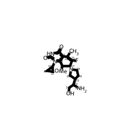 COC1c2c(c(=O)[nH]c(=O)n2C2CC2)C(C)=C(F)C1N1CCC(C(N)CO)C1